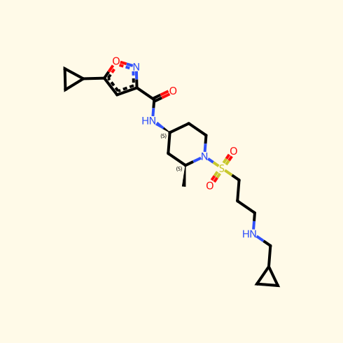 C[C@H]1C[C@@H](NC(=O)c2cc(C3CC3)on2)CCN1S(=O)(=O)CCCNCC1CC1